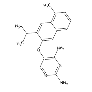 Cc1cccc2cc(Oc3cnc(N)nc3N)c(C(C)C)cc12